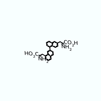 N[C@H](Cc1ccc2c(-c3ccc4cccc(C[C@@H](N)C(=O)O)c4c3)cccc2c1)C(=O)O